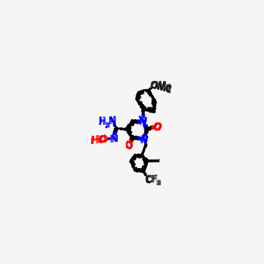 COc1ccc(-n2cc(/C(N)=N/O)c(=O)n(Cc3cccc(C(F)(F)F)c3C)c2=O)cc1